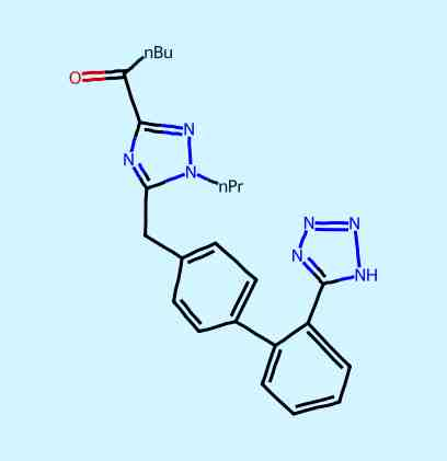 CCCCC(=O)c1nc(Cc2ccc(-c3ccccc3-c3nnn[nH]3)cc2)n(CCC)n1